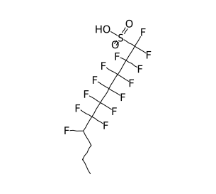 CCCC(F)C(F)(F)C(F)(F)C(F)(F)C(F)(F)C(F)(F)C(F)(F)S(=O)(=O)O